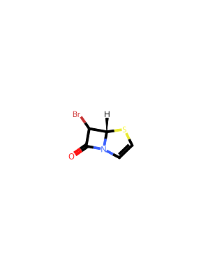 O=C1C(Br)[C@@H]2SC=CN12